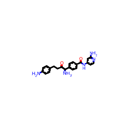 Nc1ccc(CCC(=O)C(N)c2ccc(C(=O)Nc3ccnc(N)c3)cc2)cc1